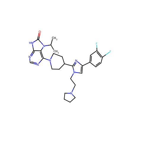 CC(C)n1c(=O)[nH]c2ncnc(N3CCC(c4nc(-c5ccc(F)c(F)c5)cn4CCN4CCCC4)CC3)c21